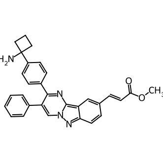 COC(=O)/C=C/c1ccc2nn3cc(-c4ccccc4)c(-c4ccc(C5(N)CCC5)cc4)nc3c2c1